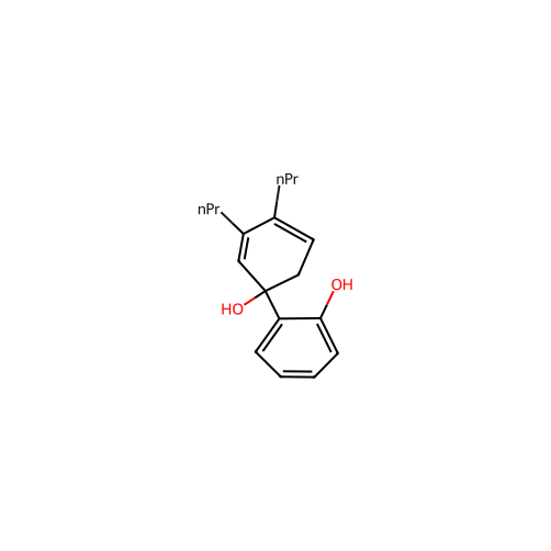 CCCC1=CCC(O)(c2ccccc2O)C=C1CCC